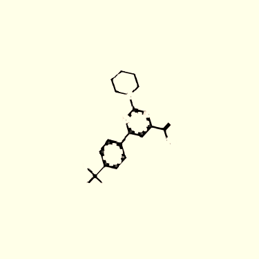 NC(=O)c1cc(-c2ccc(C(F)(F)F)cc2)nc(N2CCCCC2)n1